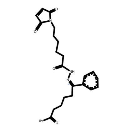 CC(C)C(=O)CCCC/C(=N/NC(=O)CCCCCN1C(=O)C=CC1=O)c1ccccc1